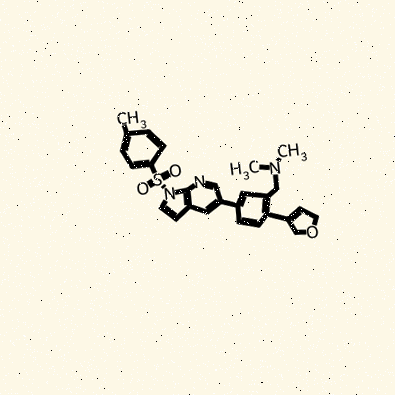 Cc1ccc(S(=O)(=O)n2ccc3cc(-c4ccc(C5=CCOC5)c(CN(C)C)c4)cnc32)cc1